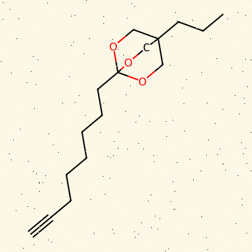 C#CCCCCCCC12OCC(CCC)(CO1)CO2